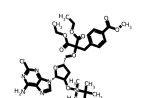 CCOC(=O)C(Cc1ccc(C(=O)OC)cc1)(OC[C@@H]1CC(O[Si](C)(C)C(C)(C)C)[C@H](n2cnc3c(N)nc(Cl)nc32)O1)C(=O)OCC